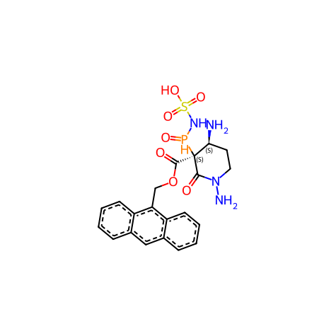 N[C@H]1CCN(N)C(=O)[C@@]1(C(=O)OCc1c2ccccc2cc2ccccc12)[PH](=O)NS(=O)(=O)O